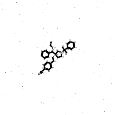 CCO[C@H](c1ccccc1)[C@]1(CCc2ccc(C#N)cc2)CCN(C(C)(C)c2ccccc2)C1